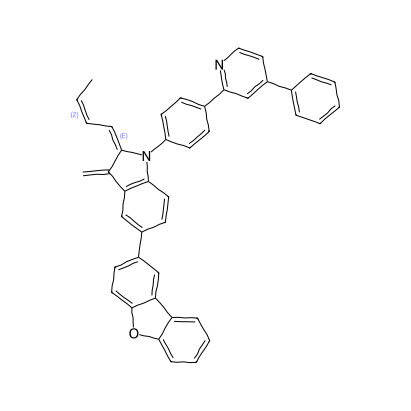 C=c1/c(=C\C=C/C)n(-c2ccc(-c3cc(-c4ccccc4)ccn3)cc2)c2ccc(-c3ccc4oc5ccccc5c4c3)cc12